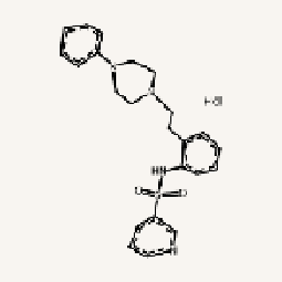 Cl.O=S(=O)(Nc1ccccc1CCN1CCN(c2ccccc2)CC1)c1cccnc1